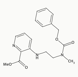 COC(=O)c1ncccc1NCCN(C)C(=O)OCc1ccccc1